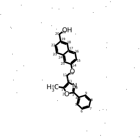 Cc1oc(-c2ccccc2)nc1COc1ccc2cc(CO)ccc2c1